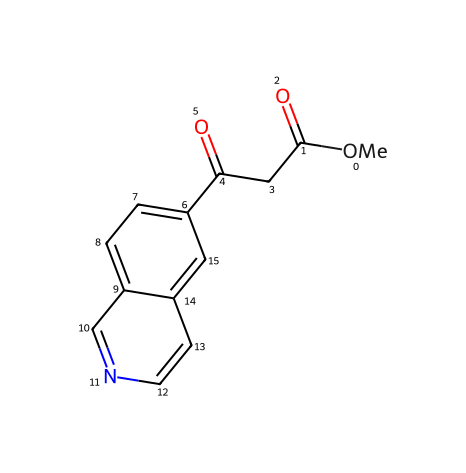 COC(=O)CC(=O)c1ccc2cnccc2c1